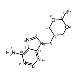 CC(C)C1OCC(Cn2cnc3c(N)ncnc32)CO1